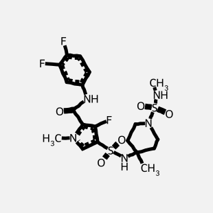 CNS(=O)(=O)N1CCC(C)(NS(=O)(=O)c2cn(C)c(C(=O)Nc3ccc(F)c(F)c3)c2F)CC1